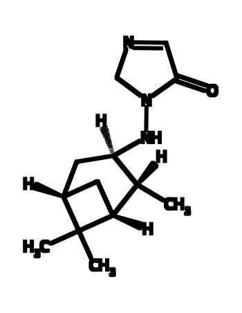 C[C@@H]1[C@H]2C[C@@H](C[C@H]1NN1CN=CC1=O)C2(C)C